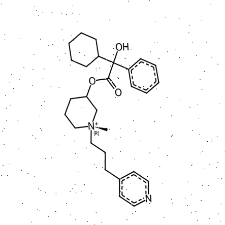 C[N@@+]1(CCCc2ccncc2)CCCC(OC(=O)C(O)(c2ccccc2)C2CCCCC2)C1